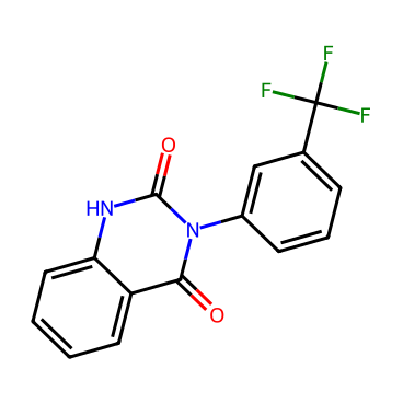 O=c1[nH]c2ccccc2c(=O)n1-c1cccc(C(F)(F)F)c1